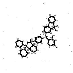 Cc1ccc(N(c2ccc(C3(C)CC(c4ccccc4)(c4ccccc4)c4ccccc43)cc2)c2ccc3c(c2)C(C)(C)c2ccccc2-3)c(C)c1